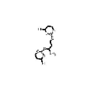 CCC1CCOB(OCCC(C)OB2OCCC(CC)O2)O1